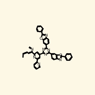 C=N/C(=C\C=C/C)c1cc(-c2nc(-c3ccc4nc(-c5ccccc5)oc4c3)nc(-c3ccc4nc(-c5ccccc5)oc4c3)n2)cc(-c2ccccn2)n1